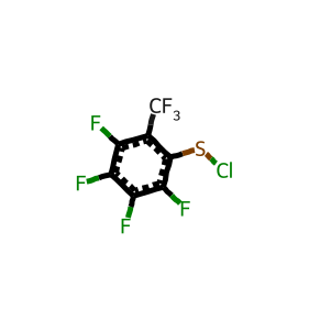 Fc1c(F)c(F)c(C(F)(F)F)c(SCl)c1F